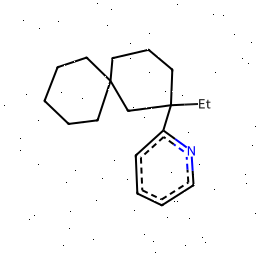 CCC1(c2ccccn2)CCCC2(CCCCC2)C1